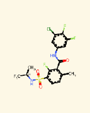 Cc1ccc(S(=O)(=O)N[C@H](C)C(F)(F)F)c(F)c1C(=O)Nc1cc(F)c(F)c(Cl)c1